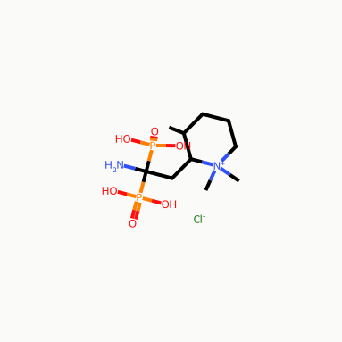 CC1CCC[N+](C)(C)C1CC(N)(P(=O)(O)O)P(=O)(O)O.[Cl-]